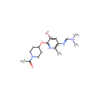 CC(=O)N1CCC(Oc2nc(C)c(/N=C/N(C)C)cc2Br)CC1